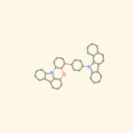 c1cc(-c2ccc(-n3c4ccccc4c4ccc5ccccc5c43)cc2)c2c(c1)-n1c3ccccc3c3cccc(c31)O2